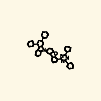 c1ccc(-c2cc(-c3ccccc3)c3c4ccccc4n(-c4ccc5oc6c(-c7nc(-c8ccccc8)nc(-c8ccccc8)n7)cccc6c5c4)c3c2)cc1